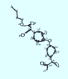 CCCCOC(=O)C(=O)c1ccc(Oc2ccc(C(=O)C(C)=O)cc2)cc1